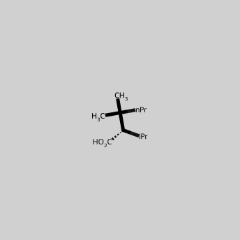 CCCC(C)(C)[C@@H](C(=O)O)C(C)C